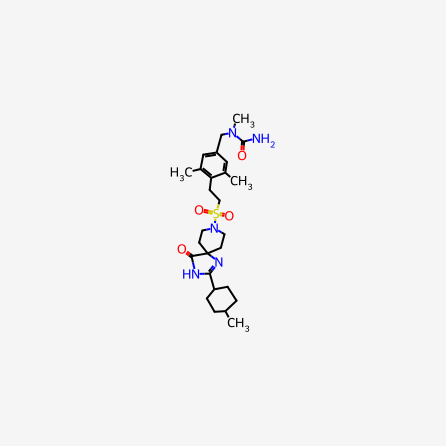 Cc1cc(CN(C)C(N)=O)cc(C)c1CCS(=O)(=O)N1CCC2(CC1)N=C(C1CCC(C)CC1)NC2=O